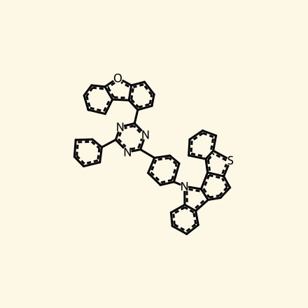 c1ccc(-c2nc(-c3ccc(-n4c5ccccc5c5ccc6sc7ccccc7c6c54)cc3)nc(-c3cccc4oc5ccccc5c34)n2)cc1